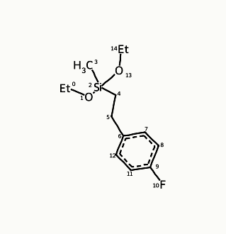 CCO[Si](C)(CCc1ccc(F)cc1)OCC